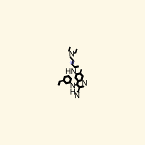 C=Cc1cccc(Nc2c(C#N)cnc3cc(C)c(NC(=C)/C=C/CN(CC)CC)cc23)c1